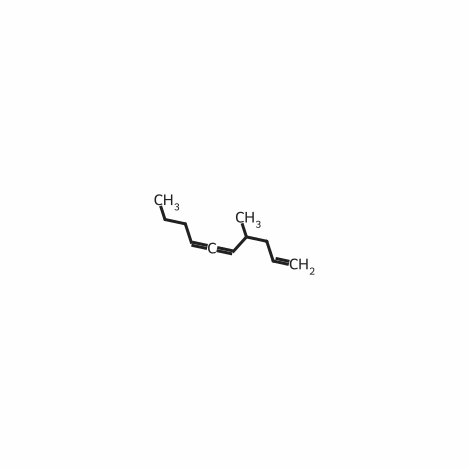 C=CCC(C)C=C=CCCC